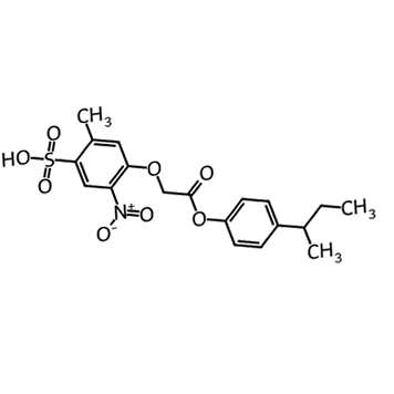 CCC(C)c1ccc(OC(=O)COc2cc(C)c(S(=O)(=O)O)cc2[N+](=O)[O-])cc1